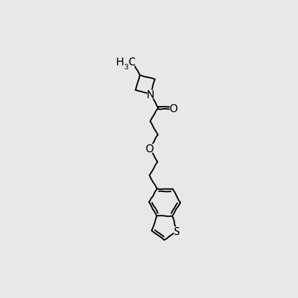 CC1CN(C(=O)CCOCCc2ccc3sccc3c2)C1